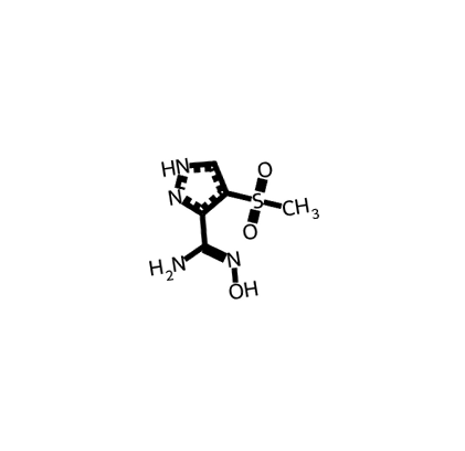 CS(=O)(=O)c1c[nH]nc1C(N)=NO